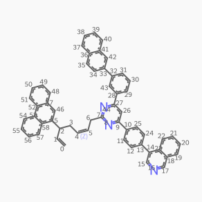 C=CC(C/C=C\Cc1nc(-c2ccc(-c3cncc4ccccc34)cc2)cc(-c2cccc(-c3ccc4ccccc4c3)c2)n1)c1cc2ccccc2c2ccccc12